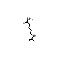 CC(=O)NCCCCC(N)=O